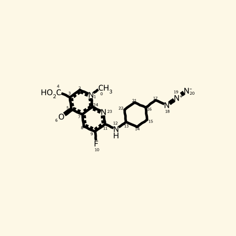 Cn1cc(C(=O)O)c(=O)c2cc(F)c(NC3CCC(CN=[N+]=[N-])CC3)nc21